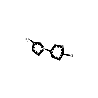 Nc1ccn(-c2ccc(Cl)nc2)c1